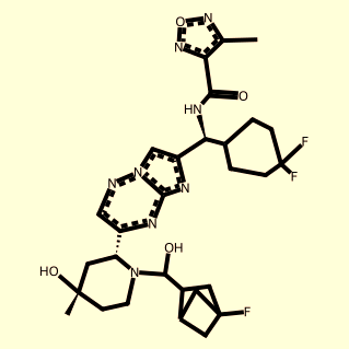 Cc1nonc1C(=O)N[C@H](c1cn2ncc([C@H]3C[C@@](C)(O)CCN3C(O)C3CC4(F)CC3C4)nc2n1)C1CCC(F)(F)CC1